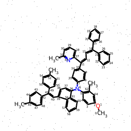 COc1ccc(N(c2ccc(/C(=C/C=C(c3ccccc3)c3ccccc3)c3cccc(C)n3)cc2)c2ccc(C=C(c3ccc(C)cc3)c3ccc(C)cc3)c3ccccc23)c(C)c1